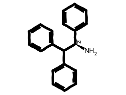 N[C@H](c1ccccc1)C(c1ccccc1)c1ccccc1